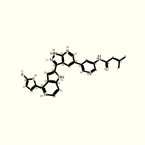 CC(C)CC(=O)Nc1cncc(-c2cnc3[nH]nc(-c4cc5c(-c6ccc(F)s6)nccc5[nH]4)c3c2)c1